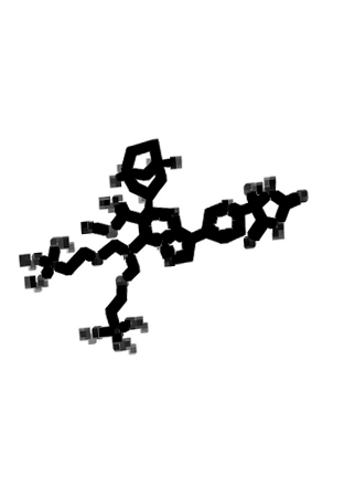 C=C(OCC)c1c([C@H]2C[C@@H]3CC[C@@H](C3)C2)nc2c(-c3ccc(C4(C)NC(=O)NC4=O)nc3)cnn2c1N(COCC[Si](C)(C)C)COCC[Si](C)(C)C